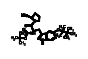 CC(C)(C)OC(=O)NC(Cc1c[nH]c2ccc(O[Si](C)(C)C(C)(C)C)cc12)C(=O)N1CCCC1C#N